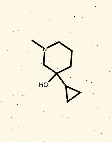 CN1CCCC(O)(C2CC2)C1